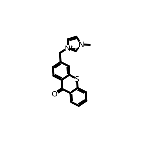 Cn1cc[n+](Cc2ccc3c(=O)c4ccccc4sc3c2)c1